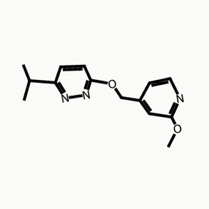 COc1cc(COc2ccc(C(C)C)nn2)ccn1